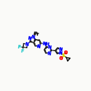 CC(C)n1nc(N2CC(F)(F)C2)c2cnc(Nc3ccnc(-c4cnn(S(=O)(=O)C5CC5)c4)n3)cc21